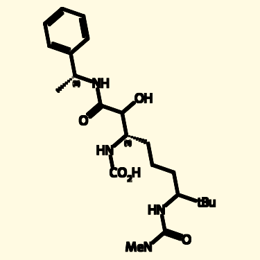 CNC(=O)NC(CCC[C@H](NC(=O)O)C(O)C(=O)N[C@H](C)c1ccccc1)C(C)(C)C